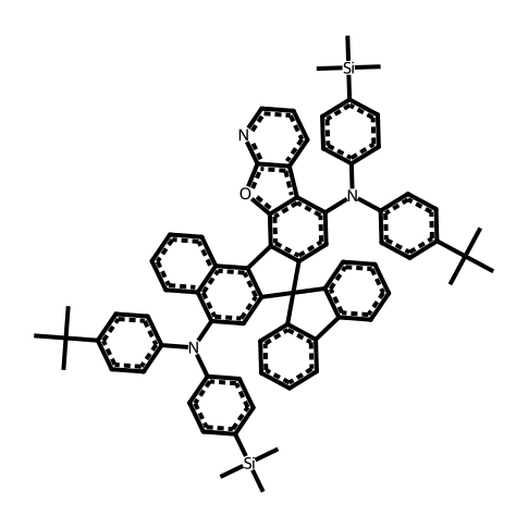 CC(C)(C)c1ccc(N(c2ccc([Si](C)(C)C)cc2)c2cc3c(c4ccccc24)-c2c(cc(N(c4ccc(C(C)(C)C)cc4)c4ccc([Si](C)(C)C)cc4)c4c2oc2ncccc24)C32c3ccccc3-c3ccccc32)cc1